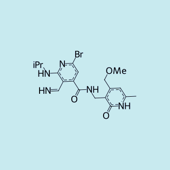 COCc1cc(C)[nH]c(=O)c1CNC(=O)c1cc(Br)nc(NC(C)C)c1C=N